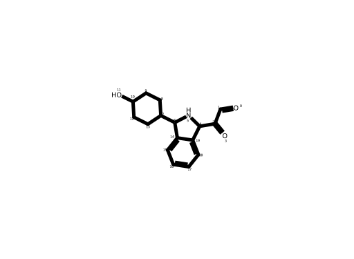 O=CC(=O)C1NC(C2CCC(O)CC2)c2ccccc21